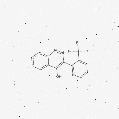 Oc1c(-c2ncccc2C(F)(F)F)nnc2ccccc12